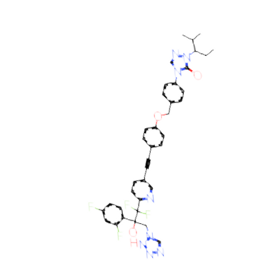 CCC(C(C)C)n1ncn(-c2ccc(COc3ccc(C#Cc4ccc(C(F)(F)C(O)(Cn5cnnn5)c5ccc(F)cc5F)nc4)cc3)cc2)c1=O